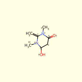 C=C1N(C)C(=O)CC(O)N1C